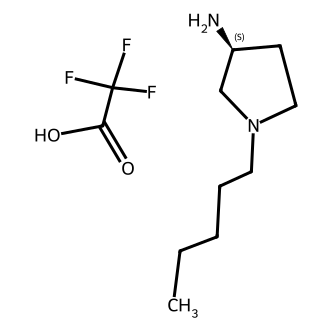 CCCCCN1CC[C@H](N)C1.O=C(O)C(F)(F)F